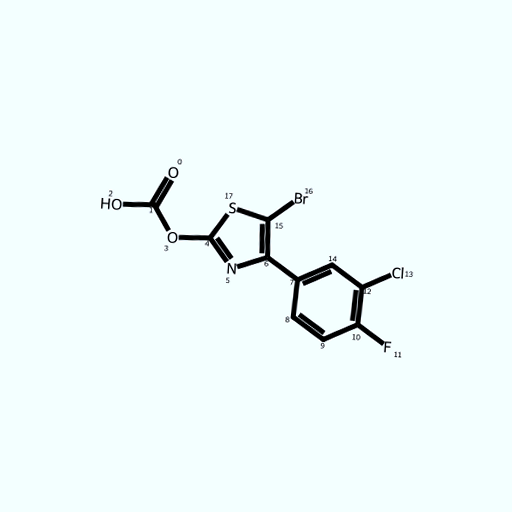 O=C(O)Oc1nc(-c2ccc(F)c(Cl)c2)c(Br)s1